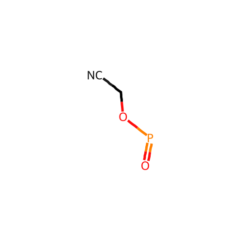 N#CCOP=O